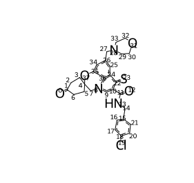 O=C1CCC2(CC1)Cn1cc(C(=O)NCc3ccc(Cl)cc3)c(=S)c3cc(CN4CCOCC4)cc(c31)O2